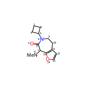 CNC1C(=O)N(C2CCC2)CCc2ccoc21